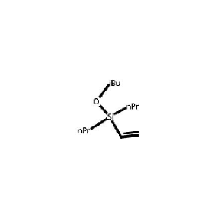 C=C[Si](CCC)(CCC)OC(C)CC